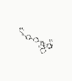 N#Cc1nccc(C2(NC(=O)Nc3ccc(-c4ccc(OCCN)cc4)cc3)CCCCC2)n1